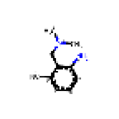 CN(C)Cc1c(N)cccc1C#N